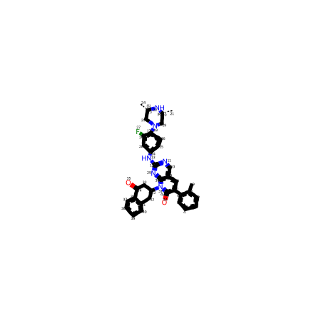 Cc1ccccc1-c1cc2cnc(Nc3ccc(N4C[C@@H](C)N[C@@H](C)C4)c(F)c3)nc2n(C2CC(=O)c3ccccc3C2)c1=O